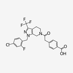 O=C(O)c1ccc(CC(=O)N2CCc3c(C(F)(F)F)nn(Cc4ccc(Cl)cc4F)c3C2)cc1